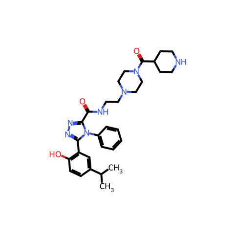 CC(C)c1ccc(O)c(-c2nnc(C(=O)NCCN3CCN(C(=O)C4CCNCC4)CC3)n2-c2ccccc2)c1